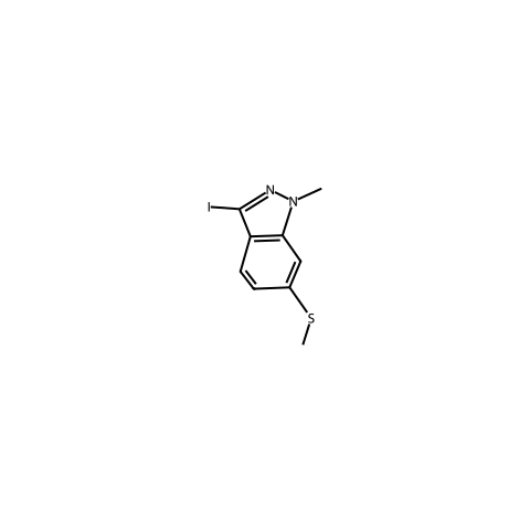 CSc1ccc2c(I)nn(C)c2c1